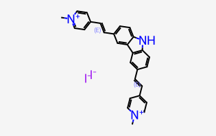 C[n+]1ccc(/C=C/c2ccc3[nH]c4ccc(/C=C/c5cc[n+](C)cc5)cc4c3c2)cc1.[I-].[I-]